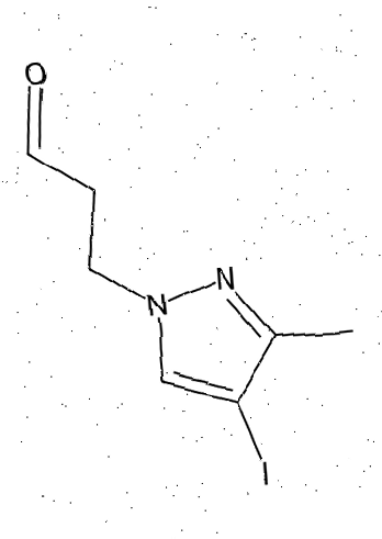 Cc1nn(CCC=O)cc1I